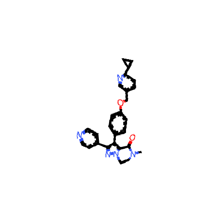 CN1CCn2nc(-c3ccncc3)c(-c3ccc(OCc4ccc(C5CC5)nc4)cc3)c2C1=O